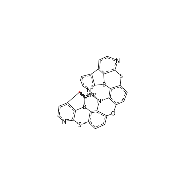 c1cc2c3[n+](c1)[N+]14c5c(ccc6c5B3c3c-2ccnc3S6)Oc2ccc3c(c21)B1c2c(ccnc2S3)-c2ccc[n+]4c21